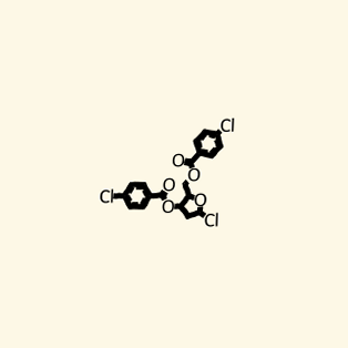 O=C(OCC1OC(Cl)CC1OC(=O)c1ccc(Cl)cc1)c1ccc(Cl)cc1